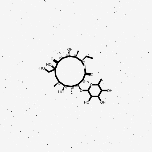 CC[C@H]1OC(=O)[C@H](C)[C@@H](OC2OC(C)C(O)C(O)C2O)[C@H](C)[C@@H](O)[C@@H](C)CC(O)(CO)C(=O)[C@H](C)[C@@H](O)[C@H]1C